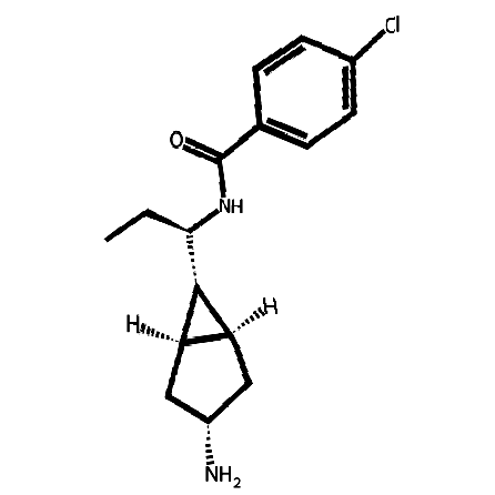 CC[C@@H](NC(=O)c1ccc(Cl)cc1)[C@H]1[C@@H]2C[C@@H](N)C[C@@H]21